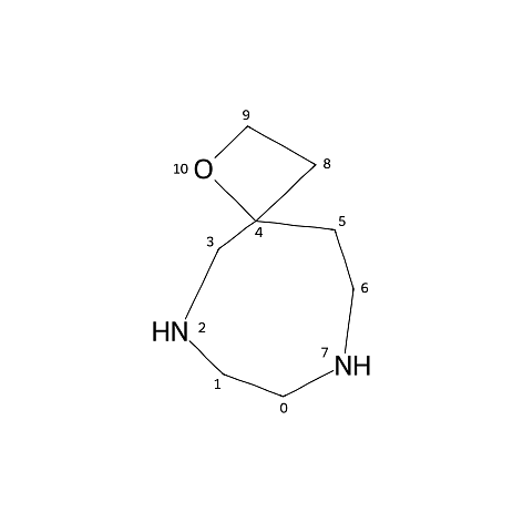 C1CNCC2(CCN1)CCO2